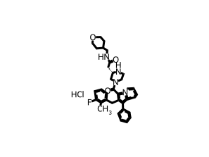 Cc1c(F)cccc1Cc1c(-c2ccccc2)c2ccccn2c1C(=O)N1CCN[C@@H](CC(=O)NCC2CCOCC2)C1.Cl